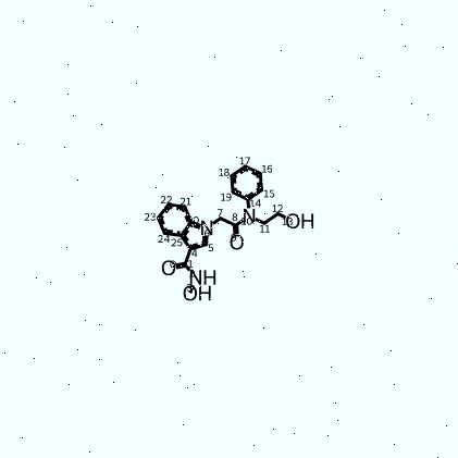 O=C(NO)c1cn(CC(=O)N(CCO)c2ccccc2)c2ccccc12